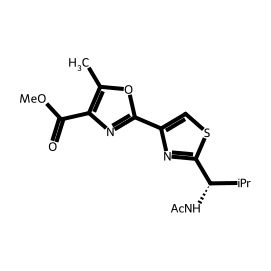 COC(=O)c1nc(-c2csc([C@@H](NC(C)=O)C(C)C)n2)oc1C